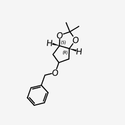 CC1(C)O[C@H]2CC(OCc3ccccc3)C[C@H]2O1